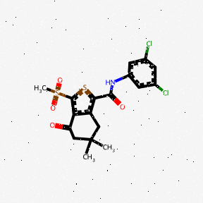 CC1(C)CC(=O)c2c(S(C)(=O)=O)sc(C(=O)Nc3cc(Cl)cc(Cl)c3)c2C1